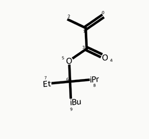 C=C(C)C(=O)OC(CC)(C(C)C)C(C)CC